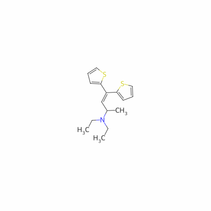 CCN(CC)C(C)C=C(c1cccs1)c1cccs1